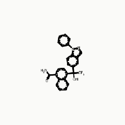 NC(=O)c1ccc(C(O)(c2ccc3c(cnn3-c3ccccc3)c2)C(F)(F)F)c2ccccc12